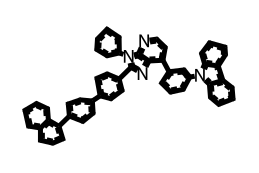 c1ccc(-n2c(-c3ccc(-c4ccc(-c5cccc6ccccc56)cc4)cc3)nc3c(-c4cccc(-n5c6ccccc6c6ccccc65)c4)ccnc32)cc1